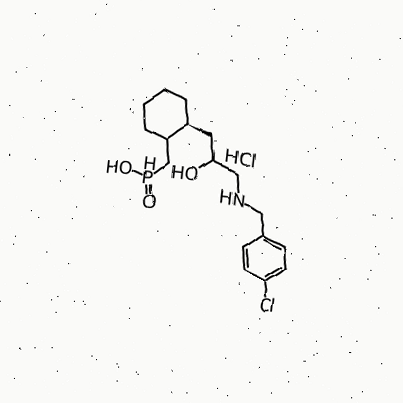 Cl.O=[PH](O)CC1CCCC[C@H]1CC(O)CNCc1ccc(Cl)cc1